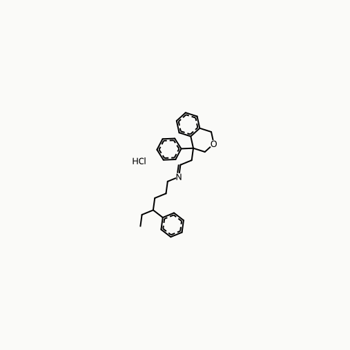 CCC(CCCN=CCC1(c2ccccc2)COCc2ccccc21)c1ccccc1.Cl